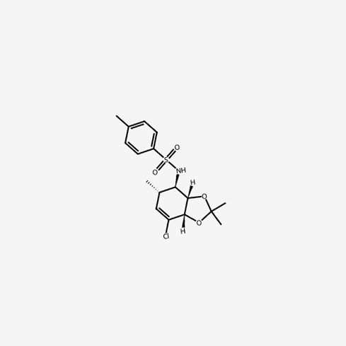 Cc1ccc(S(=O)(=O)N[C@H]2[C@@H]3OC(C)(C)O[C@@H]3C(Cl)=C[C@@H]2C)cc1